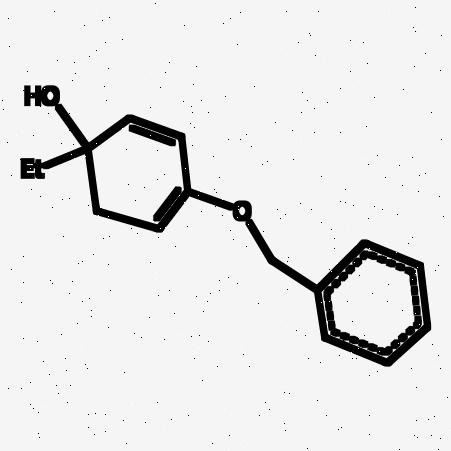 CCC1(O)C=CC(OCc2ccccc2)=CC1